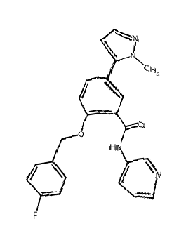 Cn1nccc1-c1ccc(OCc2ccc(F)cc2)c(C(=O)Nc2cccnc2)c1